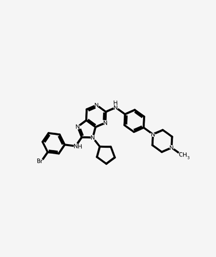 CN1CCN(c2ccc(Nc3ncc4nc(Nc5cccc(Br)c5)n(C5CCCC5)c4n3)cc2)CC1